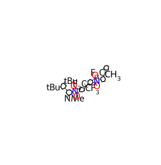 CNc1cc(-c2cc(C(C)(C)C)cc(C(C)(C)C)c2)cc(N2C(=O)c3ccc(C(c4ccc5c(c4)C(=O)N(c4cccc(C(C)(c6ccccc6)C(F)(F)F)c4)C5=O)(C(F)(F)F)C(F)(F)F)cc3C2=O)c1